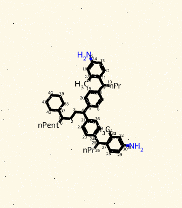 CCCCCC(CCC(c1ccc(C(CCC)c2ccc(N)cc2C)cc1)c1ccc(C(CCC)c2ccc(N)cc2C)cc1)C1CCCCC1